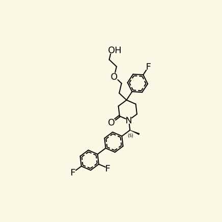 C[C@@H](c1ccc(-c2ccc(F)cc2F)cc1)N1CCC(CCOCCO)(c2ccc(F)cc2)CC1=O